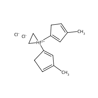 CC1=CC[C]([Hf+2]2([C]3=CC(C)=CC3)[CH2][CH2]2)=C1.[Cl-].[Cl-]